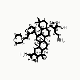 CC1(C)CC[C@]2(c3n[nH]c(O)c3CCN)CC[C@]3(C)C(=C(c4ccoc4CN4CCOCC4)CC4[C@@]5(C)Cc6c(n[nH]c6N)C(C)(C)[C@@H]5CC[C@]43C)[C@@H]2C1